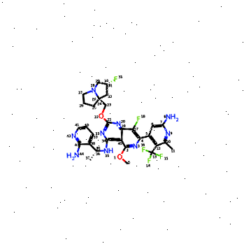 COc1nc(-c2cc(N)nc(C)c2C(F)(F)F)c(F)c2nc(OC[C@@]34CCCN3C[C@H](F)C4)nc(N[C@H](C)c3cccnc3N)c12